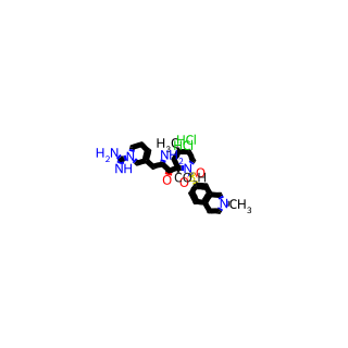 C[C@H]1CCN(S(=O)(=O)c2ccc3c(c2)CN(C)CC3)[C@](C(=O)O)(C(=O)C(N)CC2=CCCN(C(=N)N)C2)C1.Cl.Cl